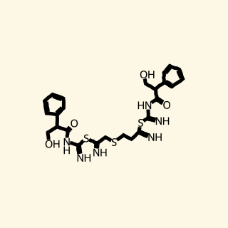 N=C(CCSCC(=N)SC(=N)NC(=O)C(CO)c1ccccc1)SC(=N)NC(=O)C(CO)c1ccccc1